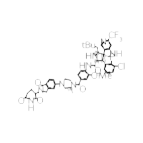 COc1cc(C(=O)N2CCN(c3ccc4c(c3)CN(C3CCC(=O)NC3=O)C4=O)C[C@@H]2C)ccc1NC(=O)[C@@H]1N[C@@H](CC(C)(C)C)[C@@]2(CNc3cc(C(F)(F)F)ncc32)[C@H]1c1cccc(Cl)c1F